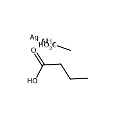 CC(=O)O.CCCC(=O)O.[Ag].[AlH3]